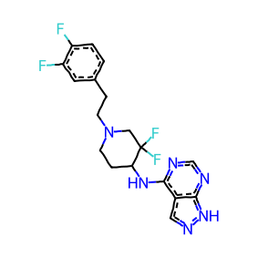 Fc1ccc(CCN2CCC(Nc3ncnc4[nH]ncc34)C(F)(F)C2)cc1F